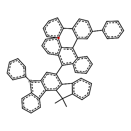 CC1(C)c2ccccc2-c2c(-c3c4ccccc4c(-c4cc(-c5ccccc5)ccc4-c4ccccc4)c4ccccc34)cc3c(c21)c1ccccc1n3-c1ccccc1